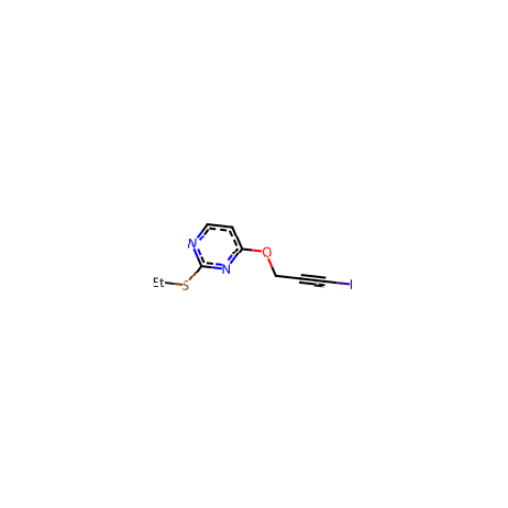 CCSc1nccc(OCC#CI)n1